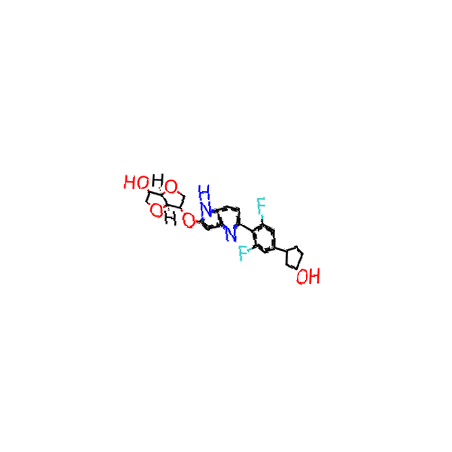 O[C@@H]1CCC(c2cc(F)c(-c3ccc4[nH]c(O[C@@H]5CO[C@H]6[C@@H]5OC[C@H]6O)cc4n3)c(F)c2)C1